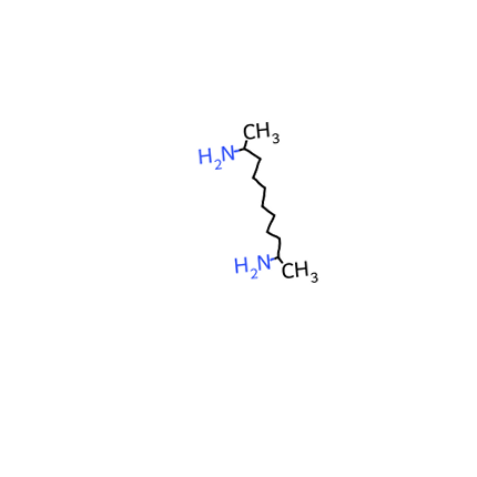 CC(N)CCCCCCCC(C)N